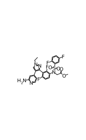 CCn1cc(-c2ccnc(N)c2)c(-c2c(F)ccc(N(CC(=O)OC)S(=O)(=O)c3cc(F)ccc3F)c2F)n1